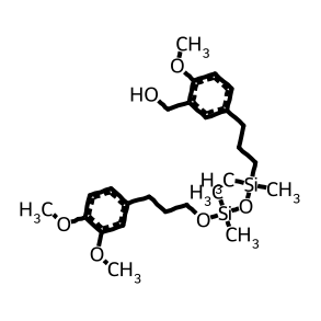 COc1ccc(CCC[Si](C)(C)O[Si](C)(C)OCCCc2ccc(OC)c(OC)c2)cc1CO